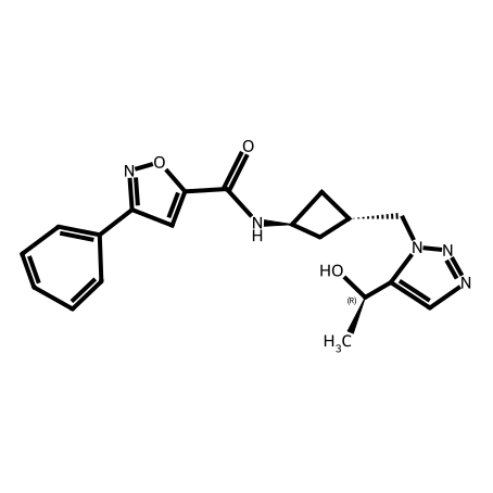 C[C@@H](O)c1cnnn1C[C@H]1C[C@H](NC(=O)c2cc(-c3ccccc3)no2)C1